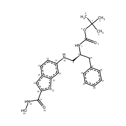 CC(C)(C)OC(=O)N[C@H](CNc1ccc2cc(C(=O)NO)sc2c1)Cc1ccccc1